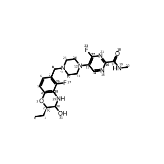 CC[C@H]1Oc2ccc(CN3CCN(c4cnc(C(=O)NC)nc4F)CC3)c(F)c2NC1O